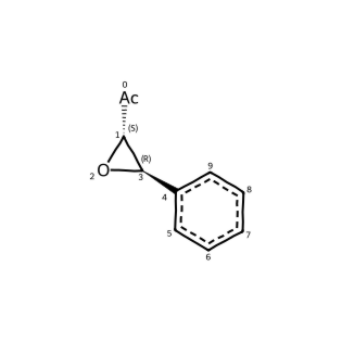 CC(=O)[C@H]1O[C@@H]1c1ccccc1